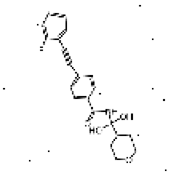 O=C(NC(O)(O)C1CCOCC1)c1ccc(C#Cc2ccccc2F)cc1